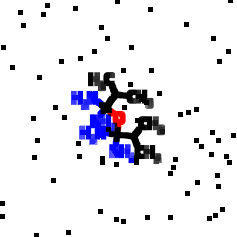 CC(C)C(N)(N)OC(N)(N)C(C)C